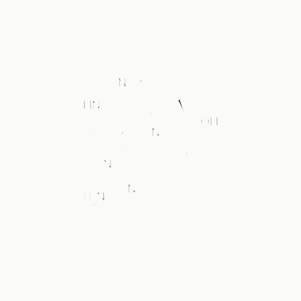 C[C@@H](O)[C@@H]1CCCN1c1ccnc2c1C(c1ccnc(N)n1)CN2